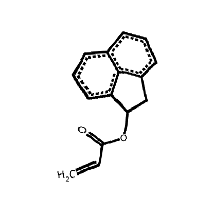 C=CC(=O)OC1Cc2cccc3cccc1c23